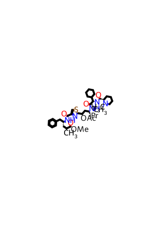 COC(=O)[C@@H](C)C[C@H](Cc1ccccc1)NC(=O)c1csc([C@@H](C[C@H](C(C)C)N(C)C(=O)[C@@H](NC(=O)[C@H]2CCCCN2C)C2CCCCC2)OC(C)=O)n1